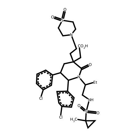 CCC(CNS(=O)(=O)C1(C)CC1)N1C(=O)C(CCN2CCS(=O)(=O)CC2)(CC(=O)O)CC(c2cccc(Cl)c2)C1c1ccc(Cl)cc1